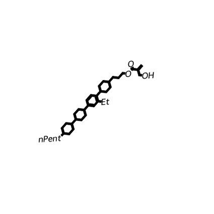 C=C(CO)C(=O)OCCCC1CCC(c2ccc(C3CCC(C4CCC(CCCCC)CC4)CC3)cc2CC)CC1